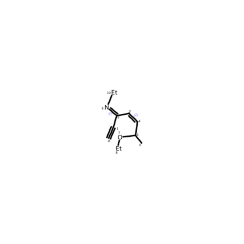 C#CC(/C=C\C(C)OCC)=N/CC